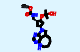 CC(C)(C)OC(=O)NC[C@H]1C[C@@H](n2cc3c4c(ncnc42)NCCCC3)C[C@@H]1OC(C)(C)O